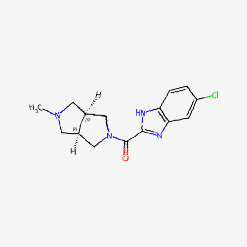 CN1C[C@@H]2CN(C(=O)c3nc4cc(Cl)ccc4[nH]3)C[C@@H]2C1